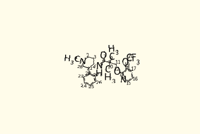 CN1CC[C@H](NC(=O)C(C)(C)COc2ncccc2OC(F)(F)F)[C@@H](c2ccccc2)C1